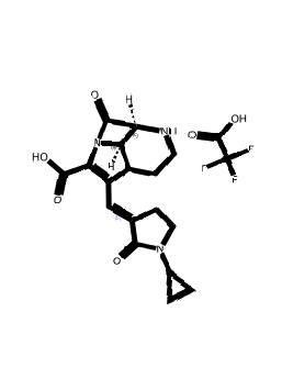 O=C(O)C(F)(F)F.O=C(O)C1=C(/C=C2\CCN(C3CC3)C2=O)C2CCN[C@@H]3C(=O)N1[C@H]23